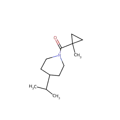 CC(C)C1CCN(C(=O)C2(C)CC2)CC1